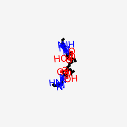 CCc1nnc(N=NC2=C(O)OC(CC)(CCCCC3(CC(C)C)OC(=O)C(N=Nc4nnc(CC)[nH]4)=C(O)O3)OC2=O)[nH]1